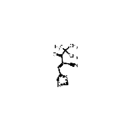 CC(C)(C)C(=O)/C(C#N)=C/c1cncs1